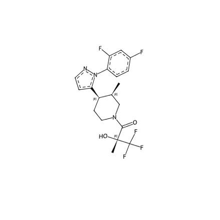 C[C@H]1CN(C(=O)[C@@](C)(O)C(F)(F)F)CC[C@H]1c1ccnn1-c1ccc(F)cc1F